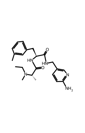 CCN(C)[C@@H](C)C(=O)N[C@@H](Cc1cccc(C)c1)C(=O)NCc1ccc(N)nc1